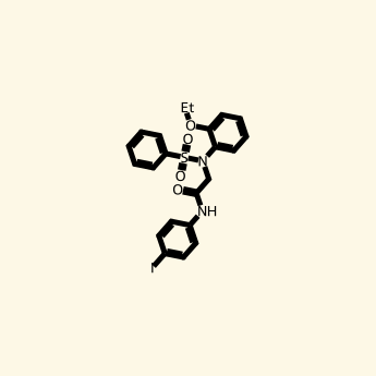 CCOc1ccccc1N(CC(=O)Nc1ccc(I)cc1)S(=O)(=O)c1ccccc1